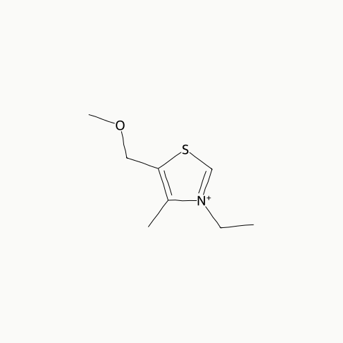 CC[n+]1csc(COC)c1C